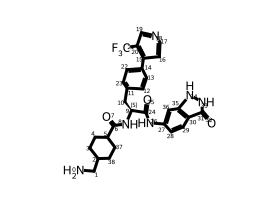 NCC1CCC(C(=O)N[C@@H](Cc2ccc(-c3ccncc3C(F)(F)F)cc2)C(=O)Nc2ccc3c(=O)[nH][nH]c3c2)CC1